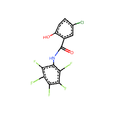 O=C(Nc1c(F)c(F)c(F)c(F)c1F)c1cc(Cl)ccc1O